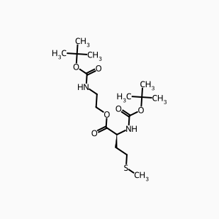 CSCC[C@H](NC(=O)OC(C)(C)C)C(=O)OCCNC(=O)OC(C)(C)C